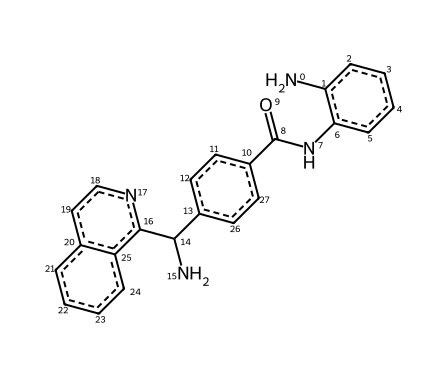 Nc1ccccc1NC(=O)c1ccc(C(N)c2nccc3ccccc23)cc1